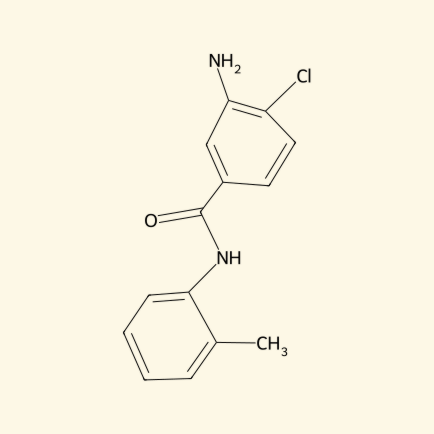 Cc1ccccc1NC(=O)c1ccc(Cl)c(N)c1